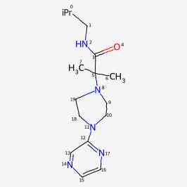 CC(C)CNC(=O)C(C)(C)N1CCN(c2cnccn2)CC1